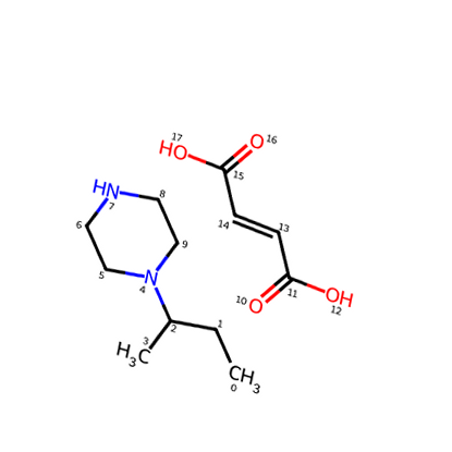 CCC(C)N1CCNCC1.O=C(O)C=CC(=O)O